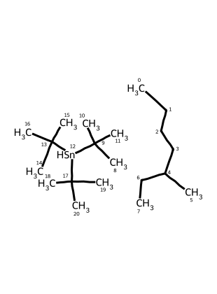 CCCCC(C)CC.C[C](C)(C)[SnH]([C](C)(C)C)[C](C)(C)C